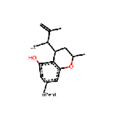 C=C(C)C(CC)C1CC(C)Oc2cc(CCCCC)cc(O)c21